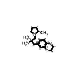 C[C@@H]1CCCN1C[C@](C)(N)Cc1ccc2c(c1)OCCO2